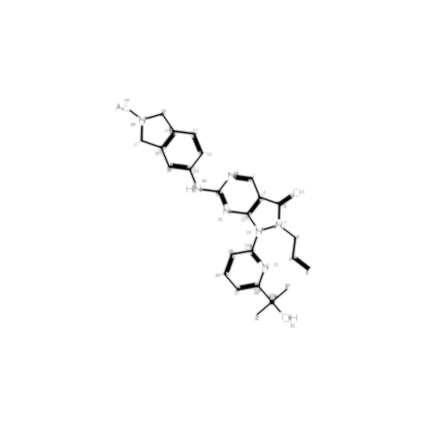 C=CCn1c(=O)c2cnc(Nc3ccc4c(c3)CN(C(C)=O)C4)nc2n1-c1cccc(C(C)(C)O)n1